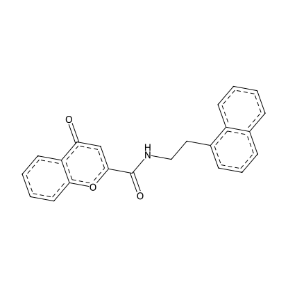 O=C(NCCc1cccc2ccccc12)c1cc(=O)c2ccccc2o1